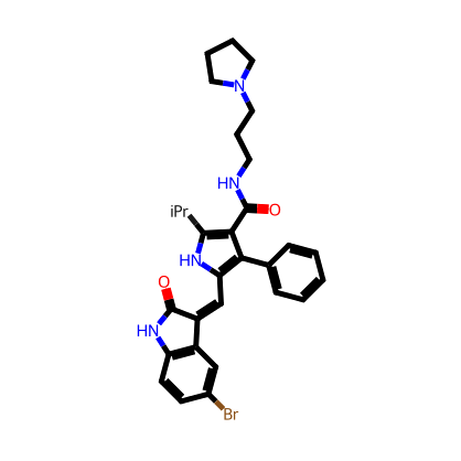 CC(C)c1[nH]c(/C=C2\C(=O)Nc3ccc(Br)cc32)c(-c2ccccc2)c1C(=O)NCCCN1CCCC1